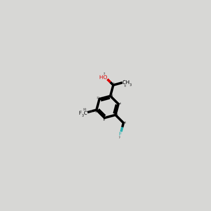 CC(O)c1cc(CF)cc(C(F)(F)F)c1